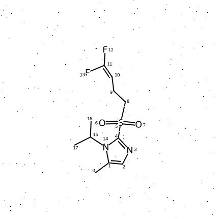 Cc1cnc(S(=O)(=O)CCC=C(F)F)n1C(C)C